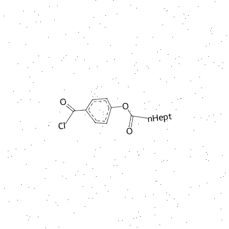 CCCCCCCC(=O)Oc1ccc(C(=O)Cl)cc1